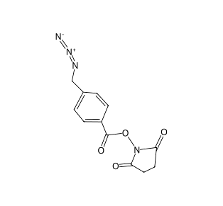 [N-]=[N+]=NCc1ccc(C(=O)ON2C(=O)CCC2=O)cc1